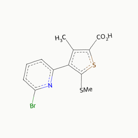 CSc1sc(C(=O)O)c(C)c1-c1cccc(Br)n1